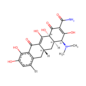 CCc1cc(O)c(O)c2c1C[C@H]1C[C@@H]3[C@H](N(C)C)C(O)=C(C(N)=O)C(=O)[C@]3(O)C(O)=C1C2=O